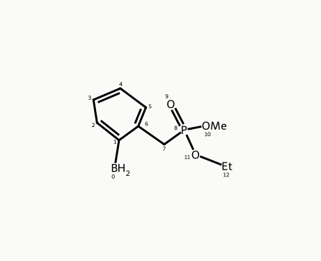 Bc1ccccc1CP(=O)(OC)OCC